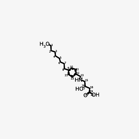 CCCCCCCCCc1ccc(CNC[C@@H](O)CC(=O)O)cc1